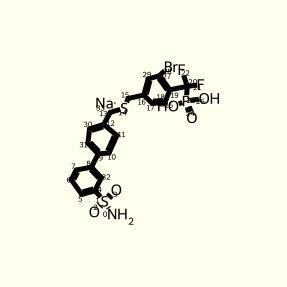 NS(=O)(=O)c1cccc(-c2ccc(CSCc3ccc(C(F)(F)P(=O)(O)O)c(Br)c3)cc2)c1.[Na]